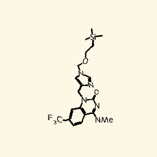 CNc1nc(=O)n(Cc2cn(COCC[Si](C)(C)C)cn2)c2cc(C(F)(F)F)ccc12